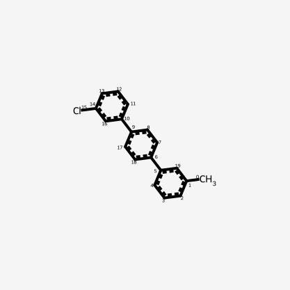 Cc1cccc(-c2ccc(-c3cccc(Cl)c3)cc2)c1